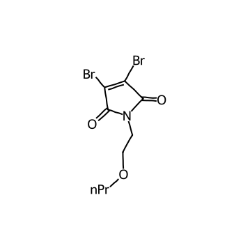 CCCOCCN1C(=O)C(Br)=C(Br)C1=O